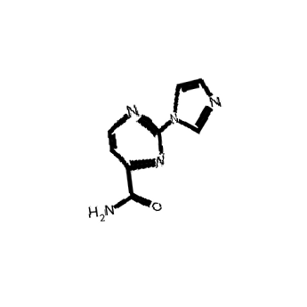 NC(=O)c1ccnc(-n2ccnc2)n1